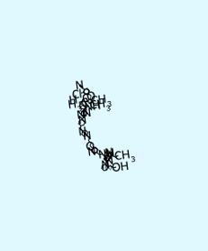 CCc1cnn2c(NCc3ccc(OCCCN4CCN(CC5CCN(c6cnc(C(=O)N[C@H]7C(C)(C)[C@H](Oc8ccc(C#N)c(Cl)c8)C7(C)C)cn6)CC5)CC4)nc3)cc(N3CCCC[C@@H]3CCO)nc12